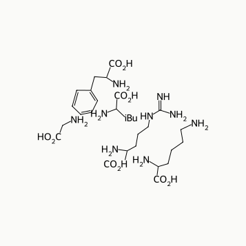 CCC(C)C(N)C(=O)O.N=C(N)NCCCC(N)C(=O)O.NC(Cc1ccccc1)C(=O)O.NCC(=O)O.NCCCCC(N)C(=O)O